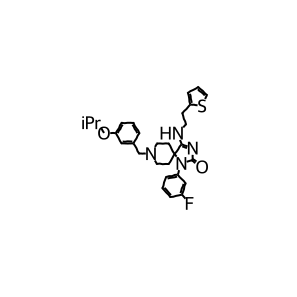 CC(C)Oc1cccc(CN2CCC3(CC2)C(NCCc2cccs2)=NC(=O)N3c2cccc(F)c2)c1